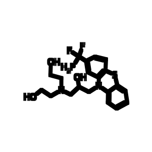 OCCN(CCO)CC(O)CN1c2ccccc2Sc2ccc(C(F)(F)P)cc21